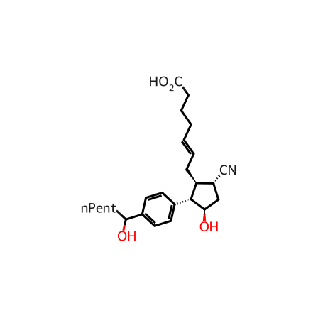 CCCCCC(O)c1ccc([C@@H]2[C@@H](CC=CCCCC(=O)O)[C@H](C#N)C[C@H]2O)cc1